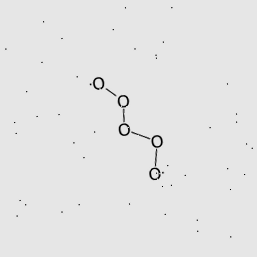 [O]OOO[O]